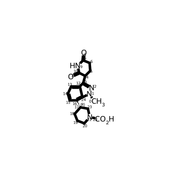 Cn1nc(C2CCC(=O)NC2=O)c2cccc([C@H]3CCCN(C(=O)O)C3)c21